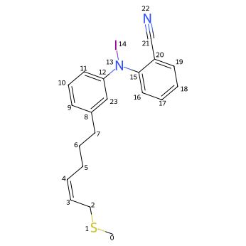 CSC/C=C\CCCc1cccc(N(I)c2ccccc2C#N)c1